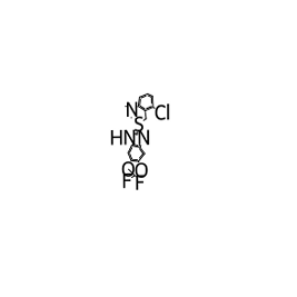 CN(C)c1cccc(Cl)c1CSc1nc2cc3c(cc2[nH]1)OC(F)(F)O3